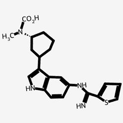 CN(C(=O)O)[C@@H]1CCCC(c2c[nH]c3ccc(NC(=N)c4cccs4)cc23)C1